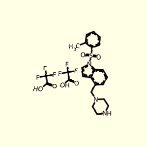 Cc1ccccc1S(=O)(=O)n1ccc2c(CN3CCNCC3)cccc21.O=C(O)C(F)(F)F.O=C(O)C(F)(F)F